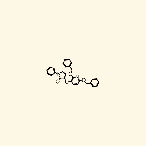 O=C1C(Oc2ccc(OCc3ccccc3)nc2OCc2ccccc2)CCN1c1ccccc1